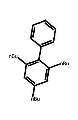 CCCCc1cc(CCCC)c(-c2cc[c]cc2)c(CCCC)c1